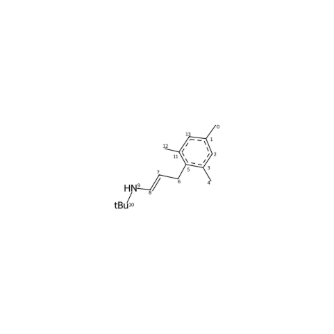 Cc1cc(C)c(C/C=C/NC(C)(C)C)c(C)c1